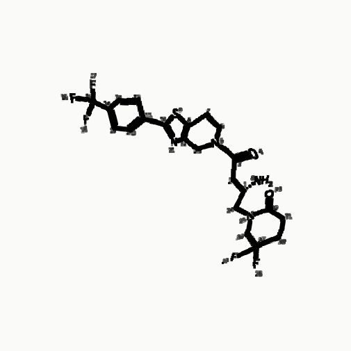 N[C@@H](CC(=O)N1CCc2sc(-c3ccc(C(F)(F)F)cc3)nc2C1)CN1CC(F)(F)CCC1=O